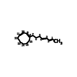 C/C=C/C=C/CCC/C1=C/C=C\CCCCC1